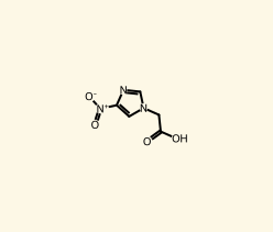 O=C(O)Cn1cnc([N+](=O)[O-])c1